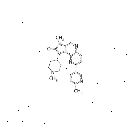 Cc1ccc(-c2ccc3ncc4c(c3n2)n(C2CCN(C)CC2)c(=O)n4C)cn1